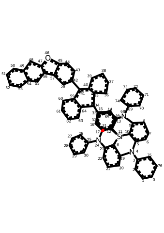 c1ccc(N2c3cccc4c3[Si]3(c5ccccc5)c5c2cccc5N(c2ccccc2)c2cc(-c5c6ccccc6c(-c6ccc7oc8cc9ccccc9cc8c7c6)c6ccccc56)cc(c23)N4c2ccccc2)cc1